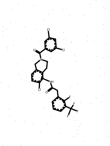 O=C(Cc1cccc(C(F)(F)F)c1F)Nc1c(Cl)ccc2c1CCN(C(=O)c1cc(Cl)cc(Cl)c1)C2